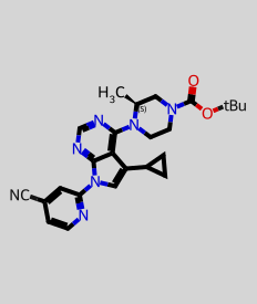 C[C@H]1CN(C(=O)OC(C)(C)C)CCN1c1ncnc2c1c(C1CC1)cn2-c1cc(C#N)ccn1